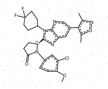 COc1ccc(N2C(=O)CC[C@H]2c2nc3cc(-c4c(C)noc4C)cnc3n2C2CCC(F)(F)CC2)cc1Cl